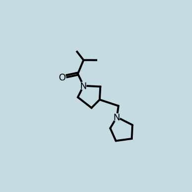 CC(C)C(=O)N1CCC(CN2CCCC2)C1